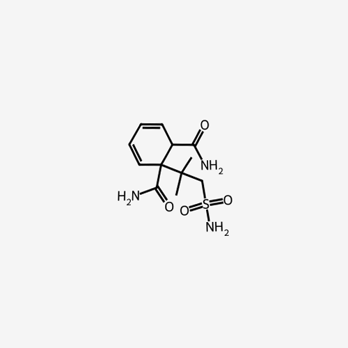 CC(C)(CS(N)(=O)=O)C1(C(N)=O)C=CC=CC1C(N)=O